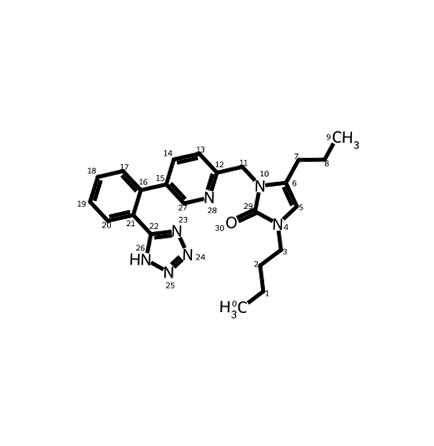 CCCCn1cc(CCC)n(Cc2ccc(-c3ccccc3-c3nnn[nH]3)cn2)c1=O